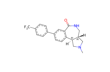 CN1C[C@H]2CNC(=O)c3cc(-c4ccc(C(F)(F)F)cc4)ccc3[C@@H]2C1